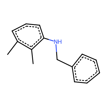 Cc1cccc(NCc2ccccc2)c1C